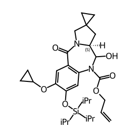 C=CCOC(=O)N1c2cc(O[Si](C(C)C)(C(C)C)C(C)C)c(OC3CC3)cc2C(=O)N2CC3(CC3)C[C@H]2C1O